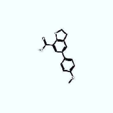 COc1ccc(-c2cc3c(c(C(=O)O)c2)OCC3)cc1